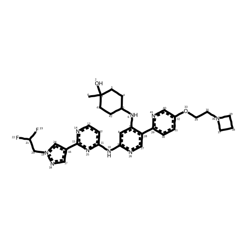 CC1(O)CCC(Nc2cc(Nc3ccnc(-c4cnn(CC(F)F)c4)n3)ncc2-c2ccc(OCCN3CCC3)cn2)CC1